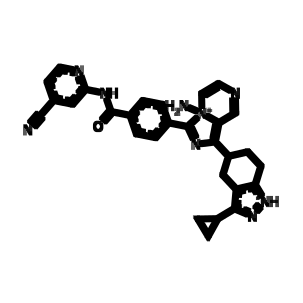 N#Cc1ccnc(NC(=O)c2ccc(C3=NC(C4CCc5[nH]nc(C6CC6)c5C4)=C4C=NC=C[N+]34N)cc2)c1